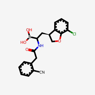 N#Cc1ccccc1CC(=O)NC(C[C@@H]1COc2c(Cl)cccc21)B(O)O